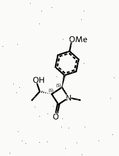 COc1ccc([C@@H]2[C@@H](C(C)O)C(=O)N2C)cc1